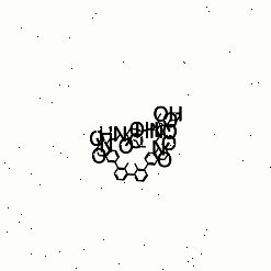 CCOC(=O)C(CO)NCCN1C(=O)COc2cc(-c3cccc(-c4cccc(-c5ccc6c(c5)OCC(=O)N6CCNC(CO)C(=O)OCC)c4C)c3C)ccc21